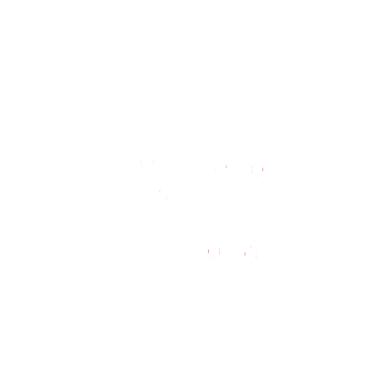 CCC(=O)SC(CC=C(C)C)c1cc(OC)c2c(OC)ccc(OC)c2c1OC